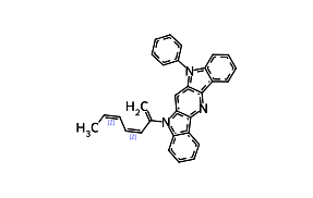 C=C(/C=C\C=C/C)n1c2ccccc2c2nc3c4ccccc4n(-c4ccccc4)c3cc21